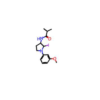 COc1cccc(N2CCC(NC(=O)C(C)C)C2I)c1